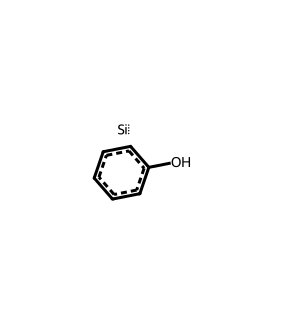 Oc1ccccc1.[Si]